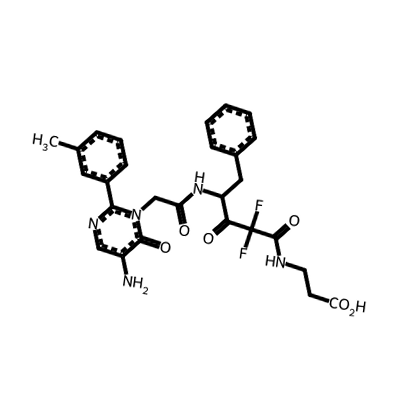 Cc1cccc(-c2ncc(N)c(=O)n2CC(=O)NC(Cc2ccccc2)C(=O)C(F)(F)C(=O)NCCC(=O)O)c1